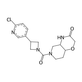 O=C1COC2CCN(C(=O)N3CC(c4ccc(Cl)nc4)C3)CC2N1